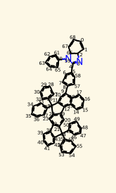 C1=CC2N=C(c3ccc(-c4cc5c(c6ccccc46)-c4cc6c(cc4C5(c4ccccc4)c4ccccc4)-c4ccccc4C6(c4ccccc4)c4ccccc4)cc3)N(c3ccccc3)C2C=C1